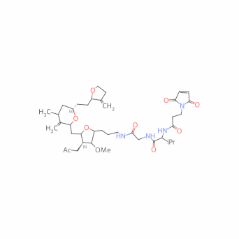 C=C1CCOC1CC[C@H]1CC(C)C(=C)C(CC2OC(CCCNC(=O)CNC(=O)C(NC(=O)CCN3C(=O)C=CC3=O)C(C)C)C(OC)[C@H]2CC(C)=O)O1